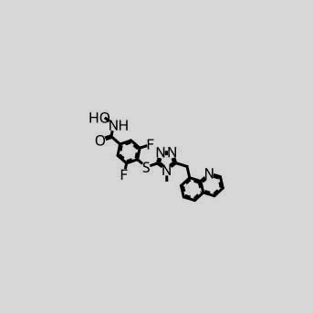 Cn1c(Cc2cccc3cccnc23)nnc1Sc1c(F)cc(C(=O)NO)cc1F